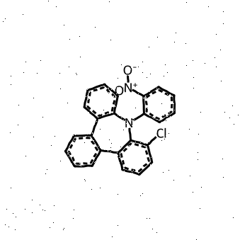 O=[N+]([O-])c1ccccc1N1c2ccccc2-c2ccccc2-c2cccc(Cl)c21